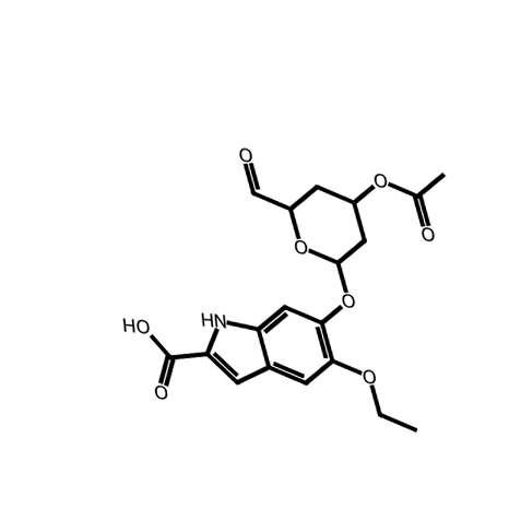 CCOc1cc2cc(C(=O)O)[nH]c2cc1OC1CC(OC(C)=O)CC(C=O)O1